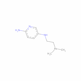 C[As](C)CCNc1ccc(N)nc1